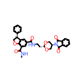 CNC(=O)c1cc(C(=O)NCC[C@H]2OC[C@H](N3C(=O)c4ccccc4C3=O)CO2)cc2c1OC[C@H]2c1ccccc1